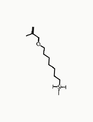 C=C(C)COCCCCCCC[Si](I)(I)I